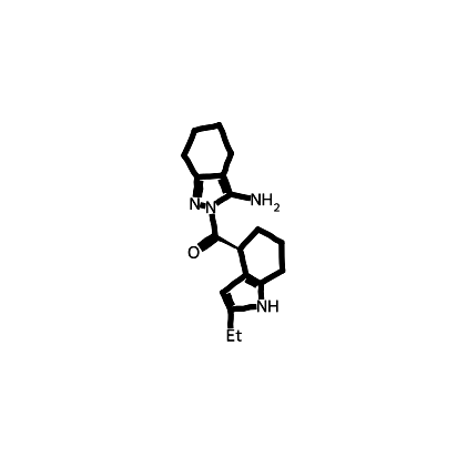 CCc1cc2c([nH]1)CCC[C@@H]2C(=O)n1nc2c(c1N)CCCC2